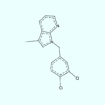 [CH2]c1cn(Cc2ccc(Cl)c(Cl)c2)c2ncccc12